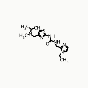 CCn1ccnc1CNC(=O)Nc1nc(CN(C)C(C)C)cs1